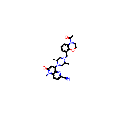 CC(=O)N1CCOc2c(CN3C[C@H](C)N(c4cc(=O)n(C)c5ccc(C#N)nc45)CC3C)cccc21